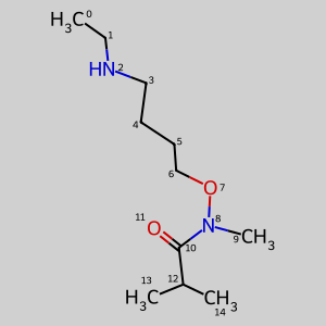 CCNCCCCON(C)C(=O)C(C)C